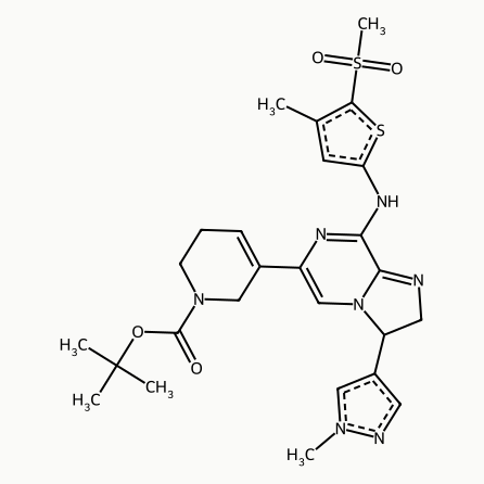 Cc1cc(NC2=NC(C3=CCCN(C(=O)OC(C)(C)C)C3)=CN3C2=NCC3c2cnn(C)c2)sc1S(C)(=O)=O